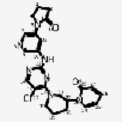 O=C1CCCN1c1cncc(Nc2ncc(Cl)c(N3CCCC(n4ccccc4=O)C3)n2)c1